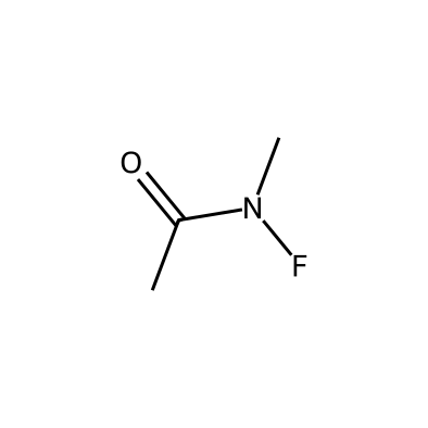 CC(=O)N(C)F